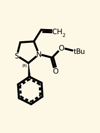 C=CC1CS[C@H](c2ccccc2)N1C(=O)OC(C)(C)C